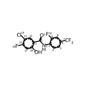 O=C(Nc1ccc(C(F)(F)F)cc1F)c1cc(Cl)c(F)cc1O